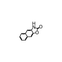 O=c1[nH]c2cc3ccccc3cc2o1